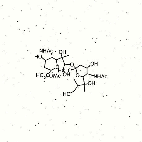 CO[C@]1(C(=O)O)C[C@@H](O)[C@@H](NC(C)=O)C(C(C)(O)C(CO)O[C@]2(C(=O)O)C[C@@H](O)[C@@H](NC(C)=O)C(C(C)(O)C(C)CO)O2)O1